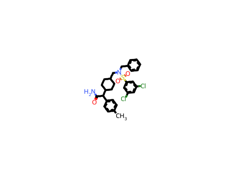 Cc1ccc(C(C(N)=O)C2CCC(CN(Cc3ccccc3)S(=O)(=O)c3cc(Cl)cc(Cl)c3)CC2)cc1